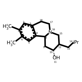 Cc1cc2c(cc1C)C1C[C@@H](O)C(CC(C)C)CN1CC2